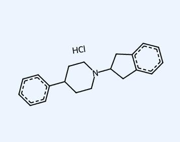 Cl.c1ccc(C2CCN(C3Cc4ccccc4C3)CC2)cc1